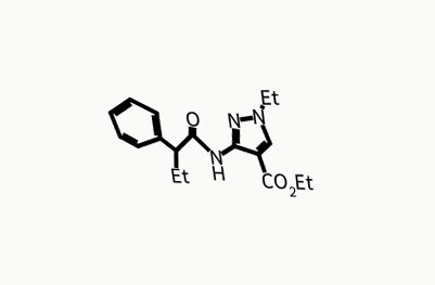 CCOC(=O)c1cn(CC)nc1NC(=O)C(CC)c1ccccc1